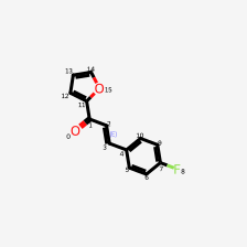 O=C(/C=C/c1ccc(F)cc1)c1ccco1